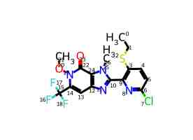 CCSc1ccc(Cl)nc1-c1nc2cc(C(F)(F)F)n(OC)c(=O)c2n1C